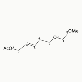 COCOCC/C=C/COC(C)=O